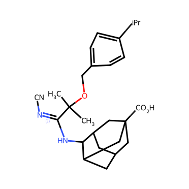 CC(C)c1ccc(COC(C)(C)/C(=N\C#N)NC2C3CC4CC2CC(C(=O)O)(C4)C3)cc1